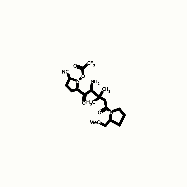 COCC1CCCN1C(=O)CC(C)(C)C(N)C(=O)C1CCC(C#N)N1OC(=O)C(F)(F)F